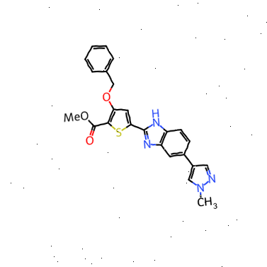 COC(=O)c1sc(-c2nc3cc(-c4cnn(C)c4)ccc3[nH]2)cc1OCc1ccccc1